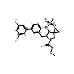 COCC(=O)N1CC2(CC2)C(NS(C)(=O)=O)C1Cc1cccc(-c2cc(F)cc(F)c2)c1